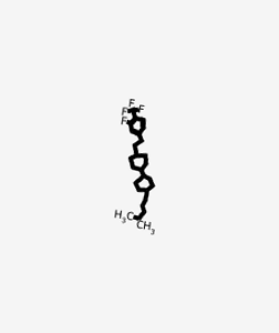 CC(C)CCCC1CCC(C2CCC(CCc3ccc(C(F)(F)F)c(F)c3)CC2)CC1